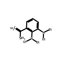 C=C([SiH3])c1cccc(N(CC)CC)c1N(CC)CC